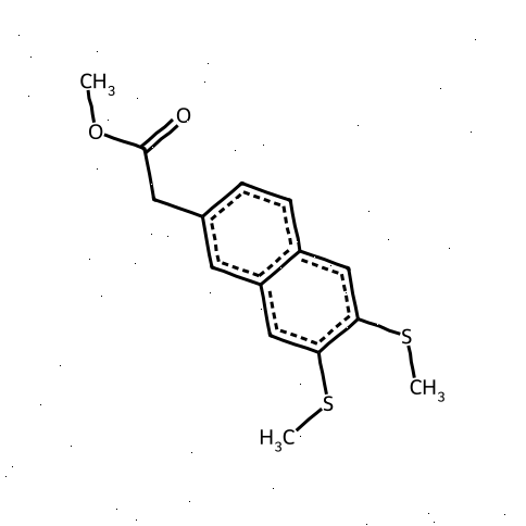 COC(=O)Cc1ccc2cc(SC)c(SC)cc2c1